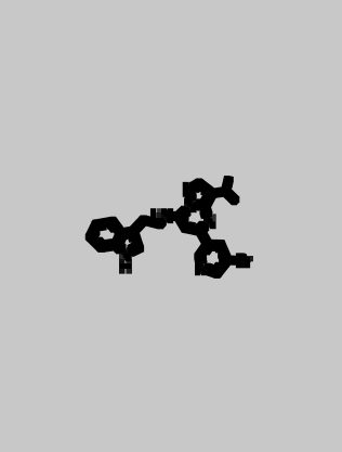 CC(C)c1cnn2c(NCCc3c[nH]c4ccccc34)cc(-c3cncc(Br)c3)nc12